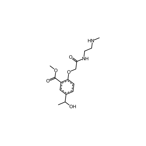 CNCCNC(=O)COc1ccc(C(C)O)cc1C(=O)OC